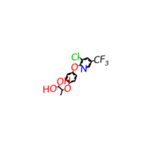 CC(Oc1ccc(Oc2ncc(C(F)(F)F)cc2Cl)cc1)C(O)O